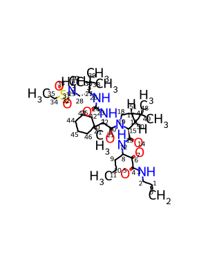 C=CCNC(=O)C(=O)C(CCC)NC(=O)[C@@H]1[C@@H]2[C@H](CN1C(=O)[C@@H](NC(=O)N[C@H](CN(C)S(=O)(=O)CC)C(C)(C)C)C1(C)CCCCC1)C2(C)C